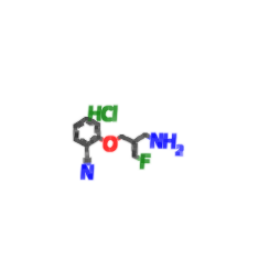 Cl.N#Cc1ccccc1OCC(=CF)CN